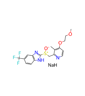 COCCOc1ccnc(C[S+]([O-])c2nc3cc(C(F)(F)F)ccc3[nH]2)c1C.[NaH]